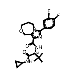 CC(C)(C)[C@H](NC(=O)c1nc(-c2ccc(F)c(F)c2)n2c1COCCC2)C(=O)NC1CC1